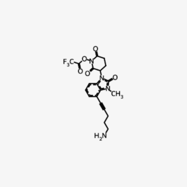 Cn1c(=O)n(C2CCC(=O)N(OC(=O)C(F)(F)F)C2=O)c2cccc(C#CCCCN)c21